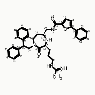 N=C(N)NCCC[C@@H]1N[C@H](CNC(=O)c2ccc(-c3ccccc3)o2)CCN(CC(c2ccccc2)c2ccccc2)C1=O